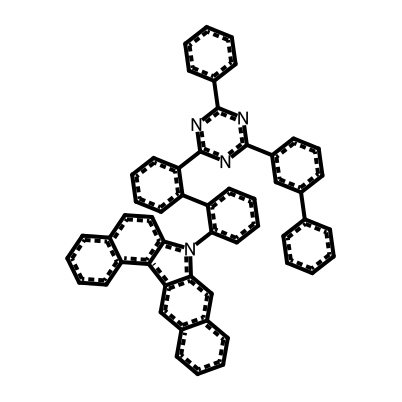 c1ccc(-c2cccc(-c3nc(-c4ccccc4)nc(-c4ccccc4-c4ccccc4-n4c5cc6ccccc6cc5c5c6ccccc6ccc54)n3)c2)cc1